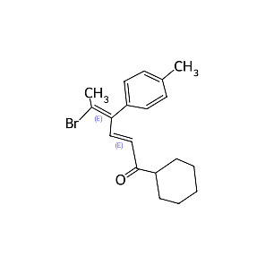 C/C(Br)=C(/C=C/C(=O)C1CCCCC1)c1ccc(C)cc1